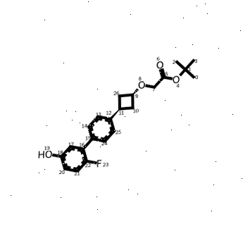 CC(C)(C)OC(=O)CO[C@H]1C[C@@H](c2ccc(-c3cc(O)ccc3F)cc2)C1